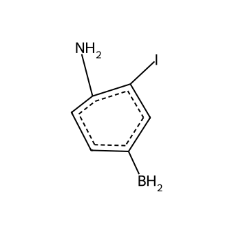 Bc1ccc(N)c(I)c1